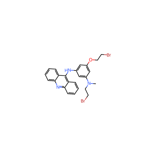 CN(CCBr)c1cc(Nc2c3ccccc3nc3ccccc23)cc(OCCBr)c1